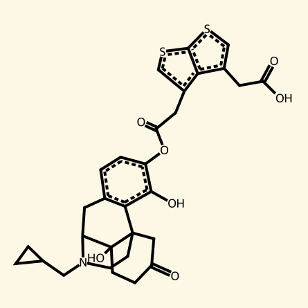 O=C(O)Cc1csc2scc(CC(=O)Oc3ccc4c(c3O)C35CCN(CC6CC6)C(C4)C3(O)CCC(=O)C5)c12